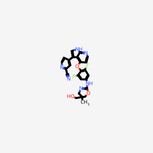 CC1(CO)CN=C(Nc2cc(F)c(Oc3ccnc4[nH]cc(-c5ccnc(C#N)c5)c34)c(F)c2)OC1